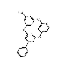 Cc1cccc(Oc2cc(Oc3cccc(C)c3)cc(-c3ccccc3)c2)c1